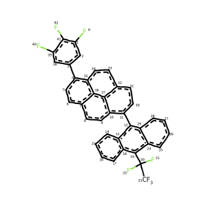 Fc1cc(-c2ccc3ccc4c(-c5c6ccccc6c(C(F)(F)C(F)(F)F)c6ccccc56)ccc5ccc2c3c54)cc(F)c1F